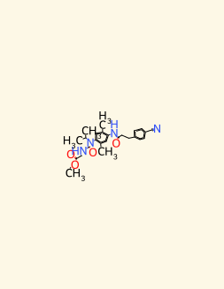 CCOC(=O)CNC(=O)N(c1cc(C)c(NC(=O)CCc2ccc(C#N)cc2)cc1C)C(C)C